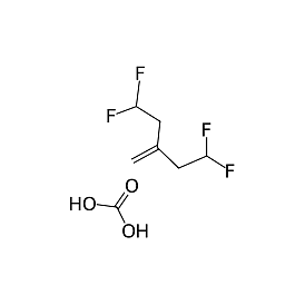 C=C(CC(F)F)CC(F)F.O=C(O)O